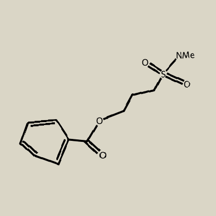 CNS(=O)(=O)CCCOC(=O)c1ccccc1